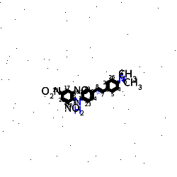 CN(C)c1ccc(/C=C/c2ccc(Nc3c([N+](=O)[O-])cc([N+](=O)[O-])cc3[N+](=O)[O-])cc2)cc1